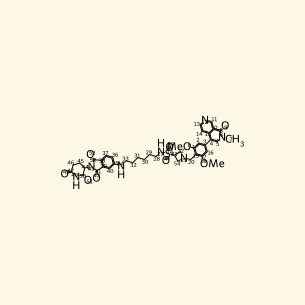 COc1cc(-c2cn(C)c(=O)c3cnccc23)cc(OC)c1CN1CC(S(=O)(=O)NCCCCCCNc2ccc3c(c2)C(=O)N([C@@H]2CCC(=O)NC2=O)C3=O)C1